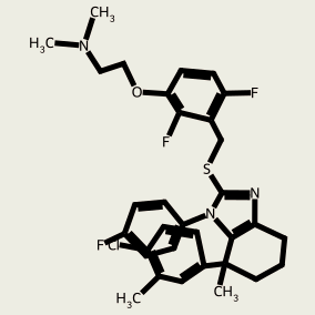 Cc1cc(C2(C)CCCc3nc(SCc4c(F)ccc(OCCN(C)C)c4F)n(-c4ccc(F)cc4)c32)ccc1Cl